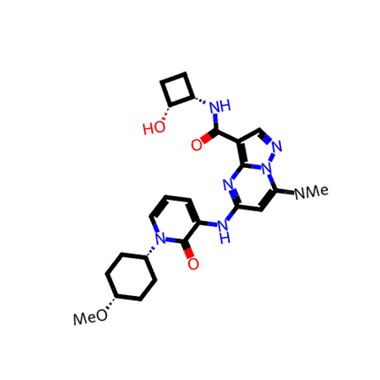 CNc1cc(Nc2cccn([C@H]3CC[C@@H](OC)CC3)c2=O)nc2c(C(=O)N[C@H]3CC[C@H]3O)cnn12